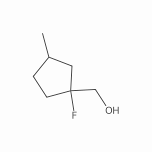 CC1CCC(F)(CO)C1